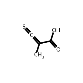 CC(=C=S)C(=O)O